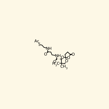 CC(=O)SCCNC(=O)CCNC(=O)[C@@H]1OC2(CCC(=O)O2)OCC1(C)C